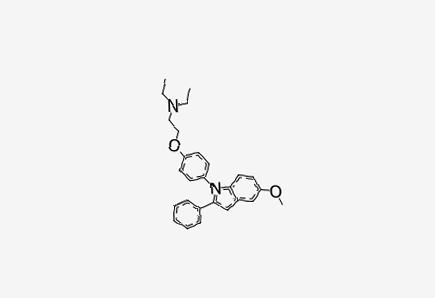 CCN(CC)CCOc1ccc(-n2c(-c3ccccc3)cc3cc(OC)ccc32)cc1